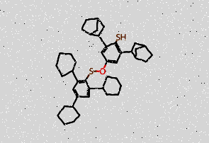 Sc1c(C2CC3CCC2C3)cc(OSc2c(C3CCCCC3)cc(C3CCCCC3)cc2C2CCCCC2)cc1C1CC2CCC1C2